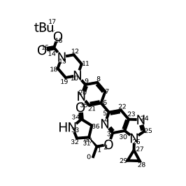 CC(Oc1nc(-c2ccc(N3CCN(C(=O)OC(C)(C)C)CC3)nc2)cc2ncn(C3CC3)c12)[C@H]1CNC(=O)C1